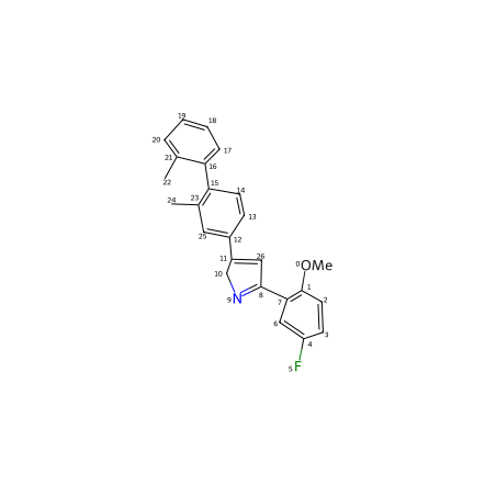 COc1ccc(F)cc1C1=NCC(c2ccc(-c3ccccc3C)c(C)c2)=C1